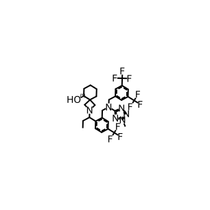 CCC(c1ccc(C(F)(F)F)cc1CN(Cc1cc(C(F)(F)F)cc(C(F)(F)F)c1)c1nnn(C)n1)N1CC2(CCCC[C@@H]2O)C1